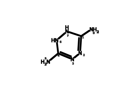 NC1=NN=C(N)NN1